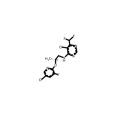 C[C@H](CNc1ncnc(C(F)F)c1Cl)Oc1ncc(Cl)cc1F